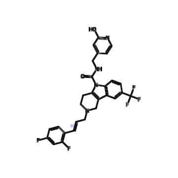 O=C(NCc1ccnc(O)c1)n1c2c(c3cc(C(F)(F)F)ccc31)CN(C/C=C/c1ccc(F)cc1F)CC2